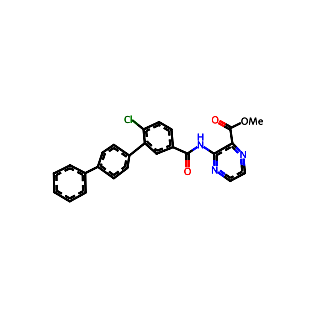 COC(=O)c1nccnc1NC(=O)c1ccc(Cl)c(-c2ccc(-c3ccccc3)cc2)c1